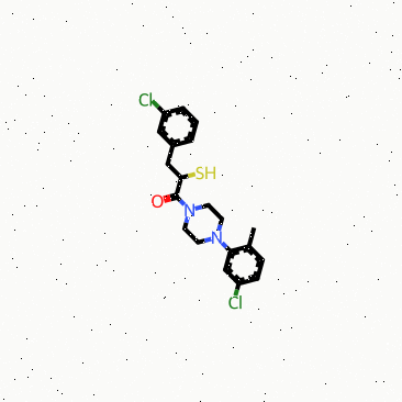 Cc1ccc(Cl)cc1N1CCN(C(=O)C(S)Cc2cccc(Cl)c2)CC1